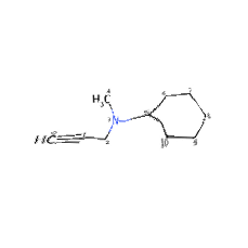 C#CCN(C)C1CCCCC1